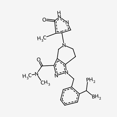 BC(P)c1ccccc1Cn1nc(C(=O)N(C)C)c2c1CCN(c1cn[nH]c(=O)c1C)C2